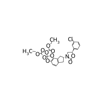 CCOC(=O)OC1(OC(=O)OCC)Oc2ccc3c(c2O1)C[C@H](N1C[C@@H](c2cccc(Cl)c2)OC1=O)C3